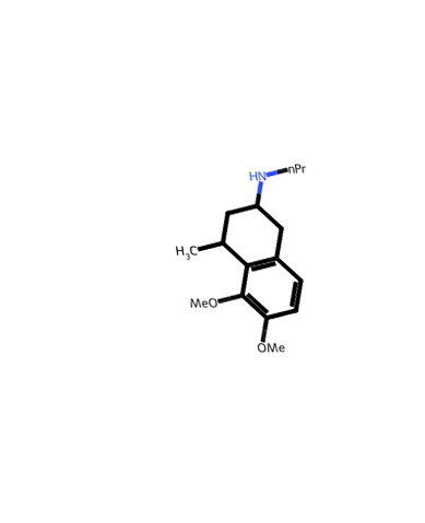 CCCNC1Cc2ccc(OC)c(OC)c2C(C)C1